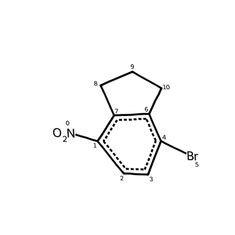 O=[N+]([O-])c1ccc(Br)c2c1CCC2